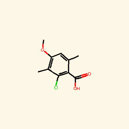 COc1cc(C)c(C(=O)O)c(Cl)c1C